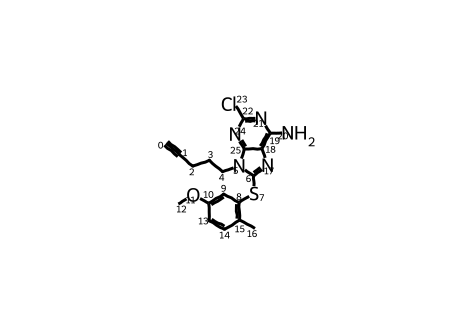 C#CCCCn1c(Sc2cc(OC)ccc2C)nc2c(N)nc(Cl)nc21